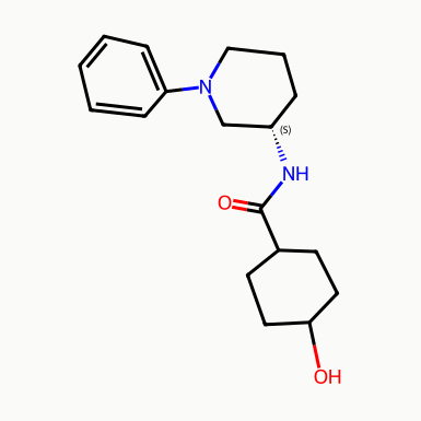 O=C(N[C@H]1CCCN(c2ccccc2)C1)C1CCC(O)CC1